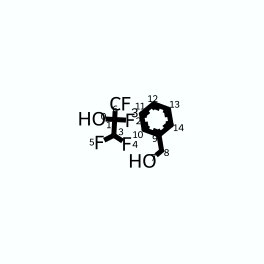 OC(F)(C(F)F)C(F)(F)F.OCc1ccccc1